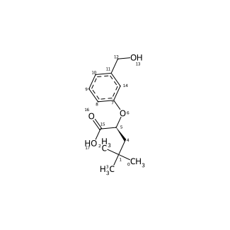 CC(C)(C)C[C@H](Oc1cccc(CO)c1)C(=O)O